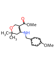 COC(=O)C1=C(NCc2ccc(OC)cc2)CC(C)(C)OC1